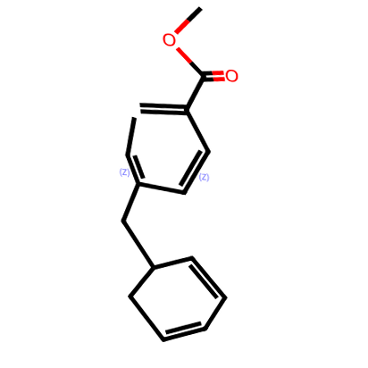 C=C(/C=C\C(=C/C)CC1C=CC=CC1)C(=O)OC